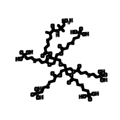 CC(CSCCC(=O)OCC(COCC(COC(=O)CCSCCP(=O)(O)O)(COC(=O)CCSCCP(=O)(O)O)COC(=O)CCSCCP(=O)(O)O)(COC(=O)CCSCCP(=O)(O)O)COC(=O)CCSCCP(=O)(O)O)C(=O)NC(C)(C)CS(=O)(=O)O